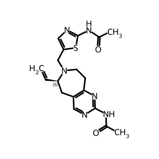 C=C[C@@H]1Cc2cnc(NC(C)=O)nc2CCN1Cc1cnc(NC(C)=O)s1